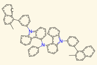 Cc1ccc2ccccc2c1-c1cccc(-n2c3ccccc3c3c(N(c4ccccc4)c4cccc5c4c4ccccc4n5-c4cccc(-c5c(C)ccc6ccccc56)c4)cccc32)c1